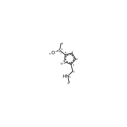 CNCc1ccc([S+](C)[O-])s1